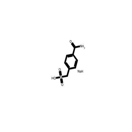 NC(=O)c1ccc(CS(=O)(=O)O)cc1.[NaH]